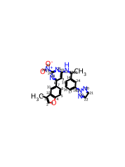 Cc1coc2ccc(-c3cc(N[C@@H](C)c4cccc(-n5nccn5)c4)nc([N+](=O)[O-])n3)cc12